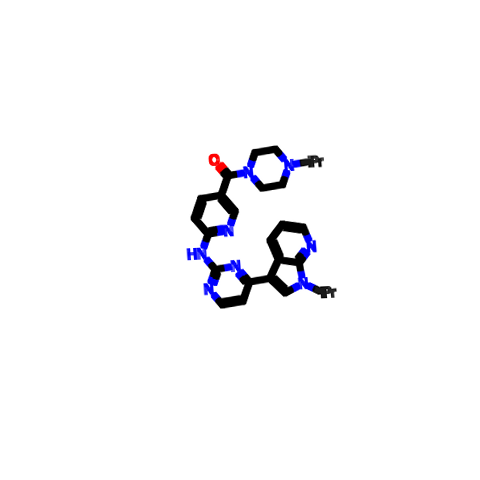 CC(C)N1CCN(C(=O)c2ccc(Nc3nccc(-c4cn(C(C)C)c5ncccc45)n3)nc2)CC1